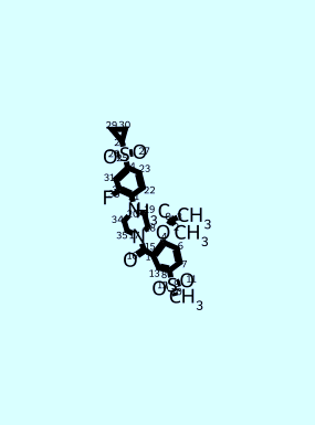 CC(C)(C)Oc1ccc(S(C)(=O)=O)cc1C(=O)N1CCN(c2ccc(S(=O)(=O)C3CC3)cc2F)CC1